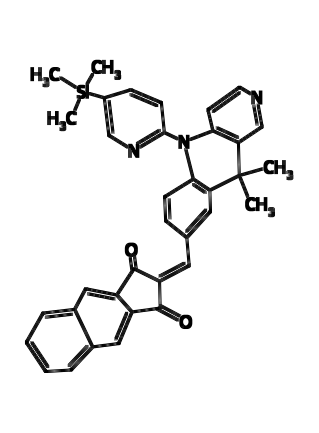 CC1(C)c2cnccc2N(c2ccc([Si](C)(C)C)cn2)c2ccc(C=C3C(=O)c4cc5ccccc5cc4C3=O)cc21